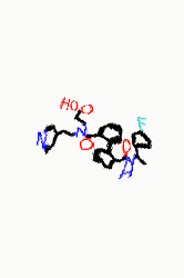 CC(NC(=O)c1ccccc1-c1ccccc1C(=O)N(CCC(=O)O)CCc1ccncc1)c1ccc(F)cc1